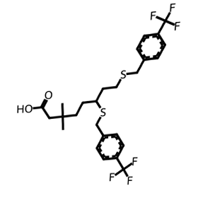 CC(C)(CCC(CCSCc1ccc(C(F)(F)F)cc1)SCc1ccc(C(F)(F)F)cc1)CC(=O)O